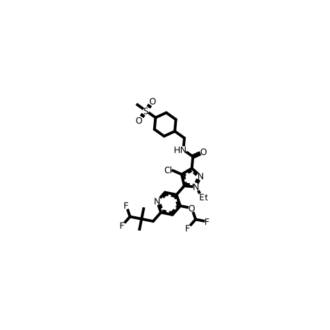 CCn1nc(C(=O)NCC2CCC(S(C)(=O)=O)CC2)c(Cl)c1-c1cnc(CC(C)(C)C(F)F)cc1OC(F)F